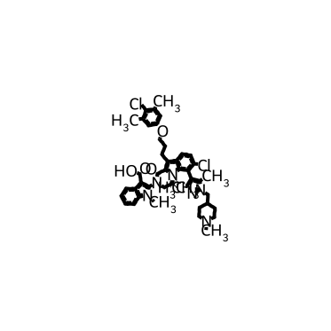 Cc1cc(OCCCc2c3n(c4c(-c5c(C)nn(CC6CCN(C)CC6)c5C)c(Cl)ccc24)[C@H](C)CN(c2c(C(=O)O)c4ccccc4n2C)C3=O)cc(C)c1Cl